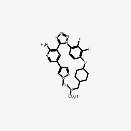 Cn1cc(-c2cnc(N)c(-c3nnnn3-c3ccc(OC4CCC(CN(C(=O)O)C(C)(C)C)CC4)c(F)c3F)c2)cn1